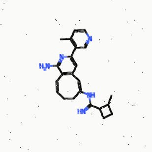 Cc1ccncc1-c1cc2c(c(N)n1)/C=C\CC/C(NC(=N)C1CCC1C)=C\2